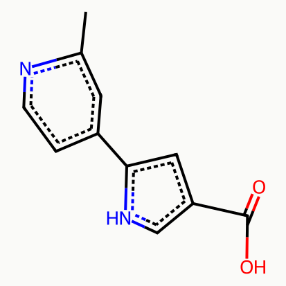 Cc1cc(-c2cc(C(=O)O)c[nH]2)ccn1